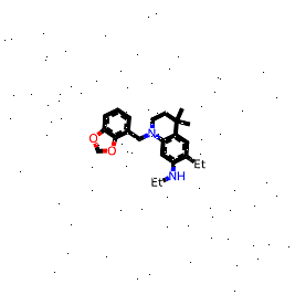 CCNc1cc2c(cc1CC)C(C)(C)CCN2Cc1cccc2c1OCO2